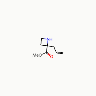 C=CCC1(C(=O)OC)CCN1